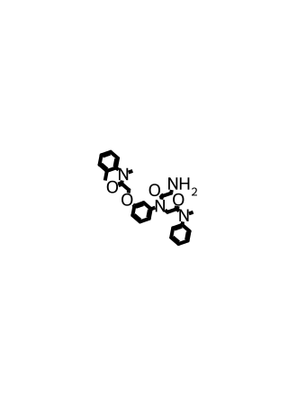 Cc1ccccc1N(C)C(=O)COc1cccc(N(CC(=O)N(C)c2ccccc2)C(=O)CN)c1